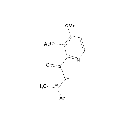 COc1ccnc(C(=O)N[C@@H](C)C(C)=O)c1OC(C)=O